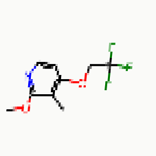 COc1nccc(OCC(F)(F)F)c1C